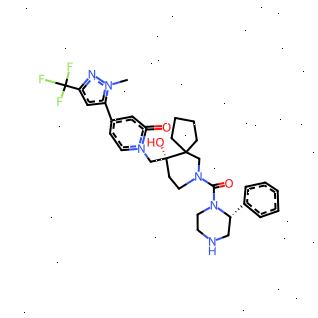 Cn1nc(C(F)(F)F)cc1-c1ccn(C[C@]2(O)CCN(C(=O)N3CCNC[C@H]3c3ccccc3)CC23CCCC3)c(=O)c1